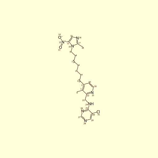 Cc1c(SCCCSCCn2c([N+](=O)[O-])cnc2C)ccnc1CNc1ncncc1Cl